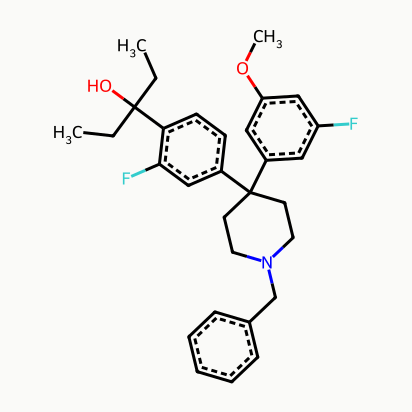 CCC(O)(CC)c1ccc(C2(c3cc(F)cc(OC)c3)CCN(Cc3ccccc3)CC2)cc1F